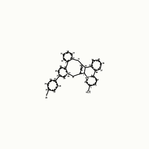 CCc1ccc2[n+](c1)C1C3C=C(Cc4ccccc4-c4ccc(-c5ccc(F)cc5)c[n+]4C3)C1c1ccccc1-2